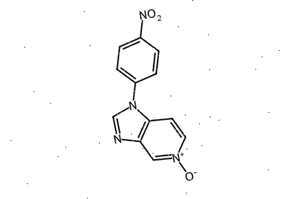 O=[N+]([O-])c1ccc(-n2cnc3c[n+]([O-])ccc32)cc1